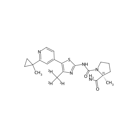 [2H]C([2H])([2H])c1nc(NC(=O)N2CCC[C@@]2(C)C(N)=O)sc1-c1ccnc(C2(C)CC2)c1